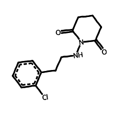 O=C1CCCC(=O)N1NCCc1ccccc1Cl